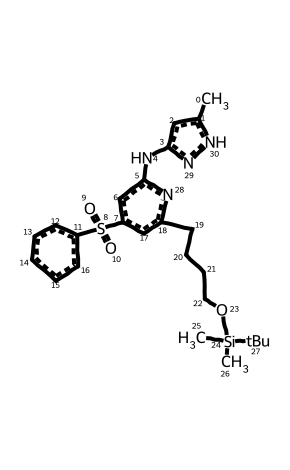 Cc1cc(Nc2cc(S(=O)(=O)c3ccccc3)cc(CCCCO[Si](C)(C)C(C)(C)C)n2)n[nH]1